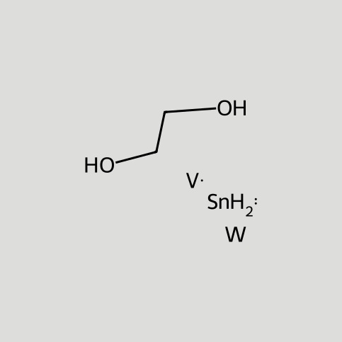 OCCO.[SnH2].[V].[W]